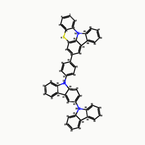 c1ccc2c(c1)Sc1cc(-c3ccc(-n4c5ccccc5c5cc(-n6c7ccccc7c7ccccc76)ccc54)cc3)cc3c4ccccc4n-2c13